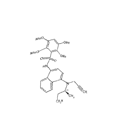 C#CCN(c1ccc(NS(=O)(=O)c2c(OC)c(OC)cc(OC)c2OC)c2ccccc12)[C@@H](C)CC(=O)O